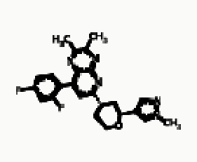 Cc1nc2nc([C@H]3CCO[C@H](c4cnn(C)c4)C3)cc(-c3ccc(F)cc3F)c2nc1C